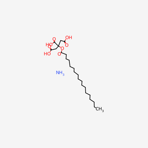 CCCCCCCCCCCCCCCCCC(=O)OC(CC(=O)O)(CC(=O)O)C(=O)O.N